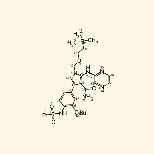 CCS(=O)(=O)Nc1ccc(-c2nn(COCC[Si](C)(C)C)c(Nc3cnccn3)c2C(N)=O)cc1OCC(C)C